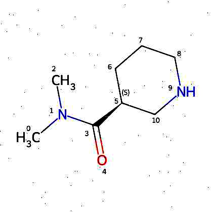 CN(C)C(=O)[C@H]1CCCNC1